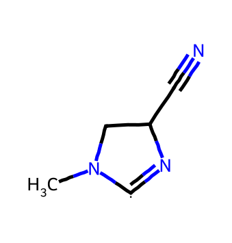 CN1[C]=NC(C#N)C1